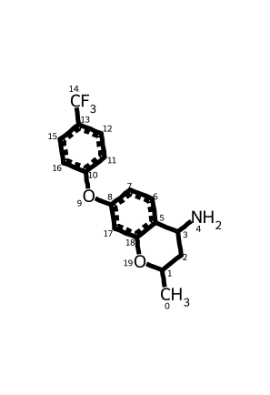 CC1CC(N)c2ccc(Oc3ccc(C(F)(F)F)cc3)cc2O1